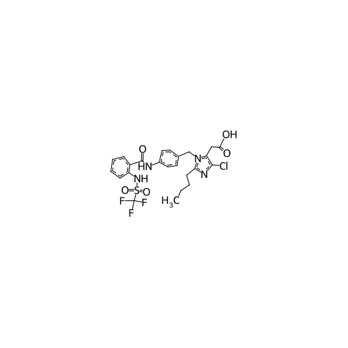 CCCCc1nc(Cl)c(CC(=O)O)n1Cc1ccc(NC(=O)c2ccccc2NS(=O)(=O)C(F)(F)F)cc1